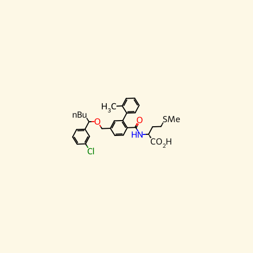 CCCCC(OCc1ccc(C(=O)N[C@@H](CCSC)C(=O)O)c(-c2ccccc2C)c1)c1cccc(Cl)c1